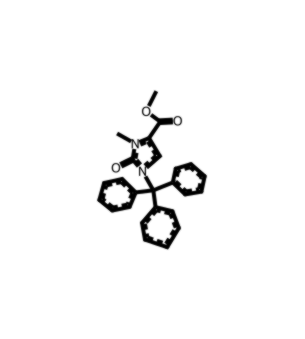 COC(=O)c1cn(C(c2ccccc2)(c2ccccc2)c2ccccc2)c(=O)n1C